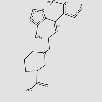 Cc1ccccc1/C(=C/CCN1CCCC(C(=O)O)C1)c1sccc1C